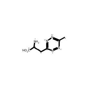 Cc1nnc(CC(N)C(=O)O)nn1